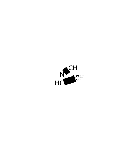 C#C.C#N